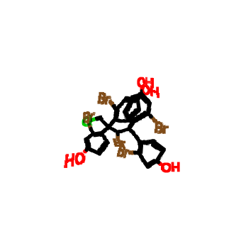 Oc1ccc(C(c2ccc(O)cc2Br)C(Br)C(CCl)(c2ccc(O)cc2Br)c2ccc(O)cc2Br)c(Br)c1